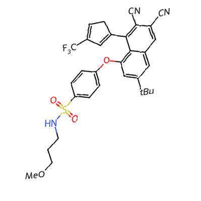 COCCCNS(=O)(=O)c1ccc(Oc2cc(C(C)(C)C)cc3cc(C#N)c(C#N)c(C4=CC(C(F)(F)F)=CC4)c23)cc1